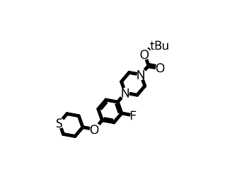 CC(C)(C)OC(=O)N1CCN(c2ccc(OC3CCSCC3)cc2F)CC1